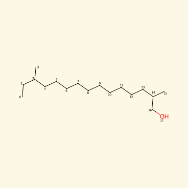 CCC(C)CCCCCCCCCCC(C)CO